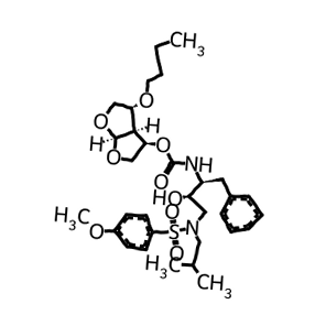 CCCCO[C@H]1CO[C@@H]2OC[C@H](OC(=O)N[C@@H](Cc3ccccc3)[C@H](O)CN(CC(C)C)S(=O)(=O)c3ccc(OC)cc3)[C@@H]21